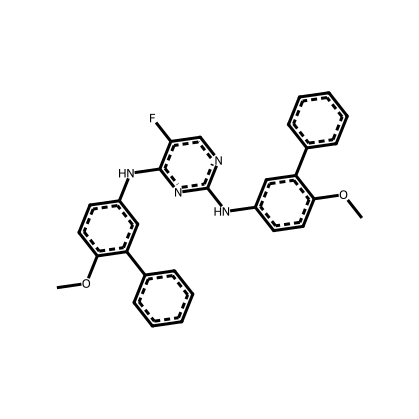 COc1ccc(Nc2ncc(F)c(Nc3ccc(OC)c(-c4ccccc4)c3)n2)cc1-c1ccccc1